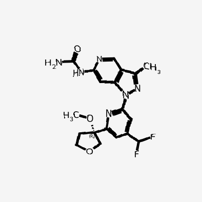 CO[C@@]1(c2cc(C(F)F)cc(-n3nc(C)c4cnc(NC(N)=O)cc43)n2)CCOC1